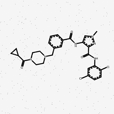 Cn1cc(NC(=O)c2cccc(CN3CCN(C(=O)C4CC4)CC3)c2)c(C(=O)Nc2cc(Cl)ccc2Cl)n1